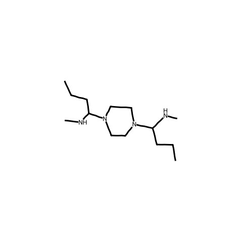 CCCC(NC)N1CCN(C(CCC)NC)CC1